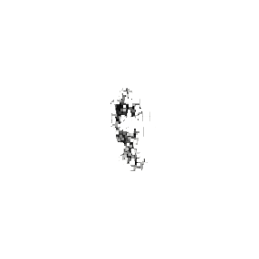 CC[C@@]1(O)C(=O)OCc2c1cc1n(c2=O)Cc2c-1nc1cc(F)c(C)cc1c2CN1CCN(c2ccc(NC(=O)CNC(=O)[C@H](Cc3ccccc3)NC(=O)COC(N)=O)cc2)CC1